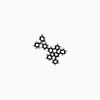 c1ccc(-c2cc(-c3ccccc3)c3c4ccccc4c4cc(-c5ccc(N(c6ccccc6)c6ccccc6)cc5)ccc4c3c2-c2ccccc2)cc1